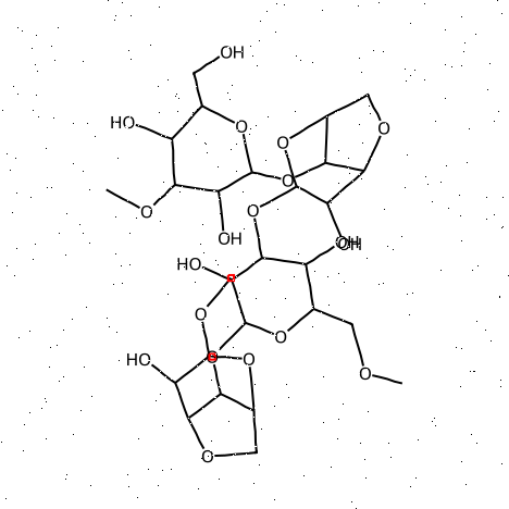 COCC1OC(OC2C3COC2C(O)C(OC)O3)C(O)C(OC2OC3COC(C2O)C3OC2OC(CO)C(O)C(OC)C2O)C1O